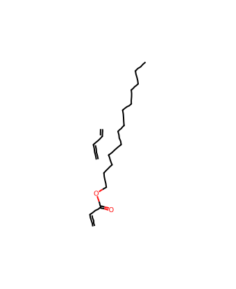 C=CC(=O)OCCCCCCCCCCCCC.C=CC=C